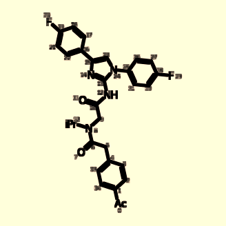 CC(=O)c1ccc(CC(=O)N(CC(=O)Nc2nc(-c3ccc(F)cc3)cn2-c2ccc(F)cc2)C(C)C)cc1